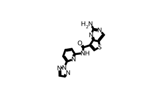 Nc1ncc2scc(C(=O)Nc3cccc(-n4nccn4)n3)c2n1